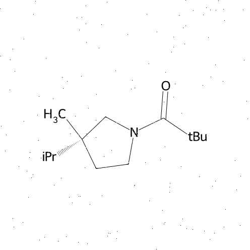 CC(C)[C@@]1(C)CCN(C(=O)C(C)(C)C)C1